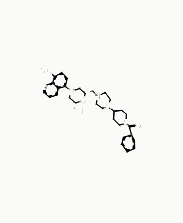 C[C@@H]1CN(c2ccc(C#N)c3ncccc23)C[C@@H](CN2CCN(C3CCN(C(=O)c4ccccc4)CC3)CC2)O1